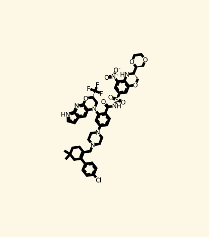 CC1(C)CCC(CN2CCN(c3ccc(C(=O)NS(=O)(=O)c4cc5c(c([N+](=O)[O-])c4)N[C@H]([C@@H]4COCCO4)CO5)c(N4C[C@@H](C(F)(F)F)Oc5nc6[nH]ccc6cc54)c3)CC2)=C(c2ccc(Cl)cc2)C1